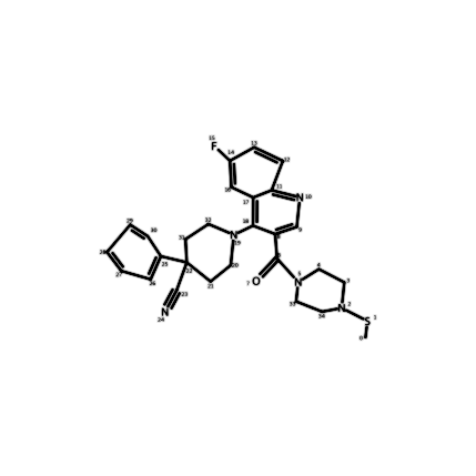 CSN1CCN(C(=O)c2cnc3ccc(F)cc3c2N2CCC(C#N)(c3ccccc3)CC2)CC1